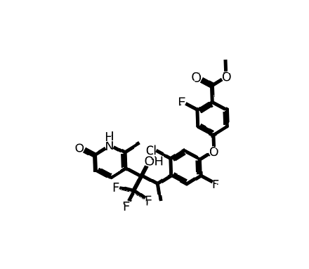 COC(=O)c1ccc(Oc2cc(Cl)c(C(C)C(O)(c3ccc(=O)[nH]c3C)C(F)(F)F)cc2F)cc1F